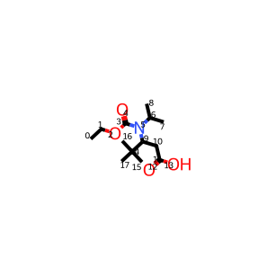 CCOC(=O)N(C(C)C)C(CC(=O)O)C(C)(C)C